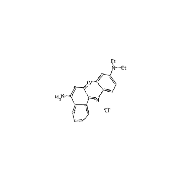 CCN(CC)c1ccc2nc3c(cc(N)c4ccccc43)[o+]c2c1.[Cl-]